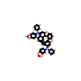 c1ccc(N(c2ccc3c(c2)OCO3)c2cc3oc4ccc5oc6cc(N(c7ccccc7)c7ccc8c(c7)OCO8)c7ccccc7c6c5c4c3c3ccccc23)cc1